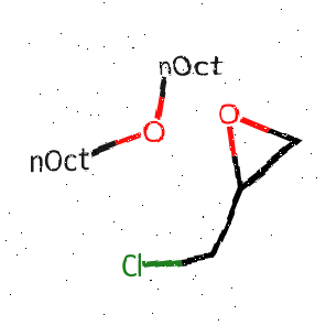 CCCCCCCCOCCCCCCCC.ClCC1CO1